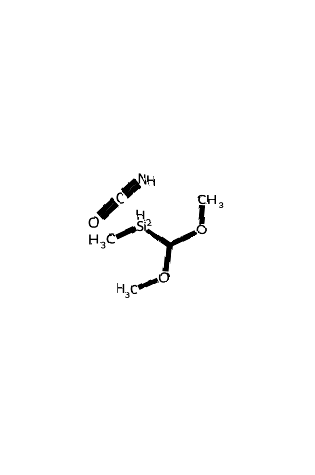 COC(OC)[SiH2]C.N=C=O